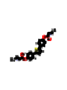 CC/C=C/C(=O)Oc1ccc(-c2ccc(-c3ccc(OC(=O)/C=C/CC)cc3)s2)cc1